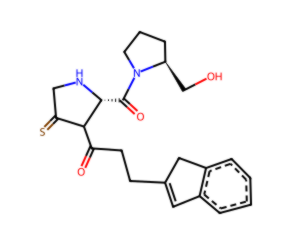 O=C(CCC1=Cc2ccccc2C1)C1C(=S)CN[C@@H]1C(=O)N1CCC[C@H]1CO